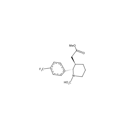 COC(=O)C[C@H]1CCCN(C(=O)O)[C@@H]1c1ccc(C(F)(F)F)cc1